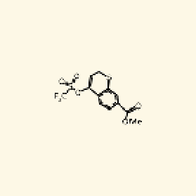 COC(=O)c1ccc2c(c1)SCC=C2OS(=O)(=O)C(F)(F)F